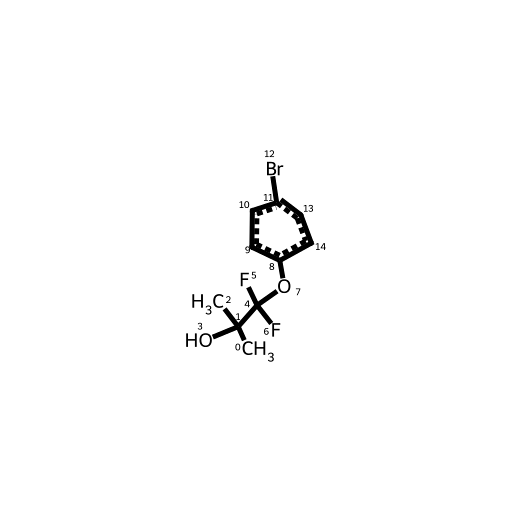 CC(C)(O)C(F)(F)Oc1ccc(Br)cc1